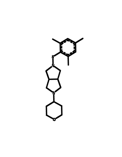 Cc1cc(C)c(SN2CC3CN(C4CCOCC4)CC3C2)c(C)c1